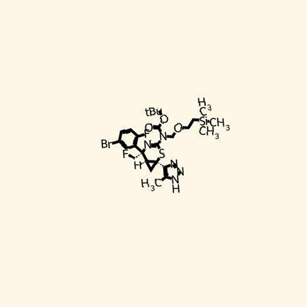 Cc1[nH]nnc1[C@]12C[C@H]1[C@@](CF)(c1cc(Br)ccc1F)N=C(N(COCC[Si](C)(C)C)C(=O)OC(C)(C)C)S2